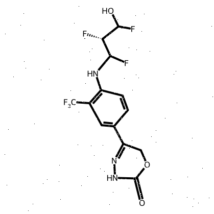 O=C1NN=C(c2ccc(NC(F)[C@H](F)C(O)F)c(C(F)(F)F)c2)CO1